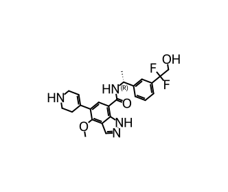 COc1c(C2=CCNCC2)cc(C(=O)N[C@H](C)c2cccc(C(F)(F)CO)c2)c2[nH]ncc12